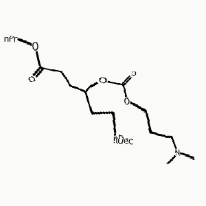 [CH2][CH]COC(=O)CCC(CCCCCCCCCCCC)OC(=O)OCCCN(C)C